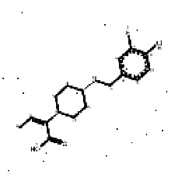 CC=C(C(=O)O)[C@H]1CC[C@H](CCc2ccc(Cl)c(F)c2)CC1